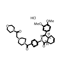 COc1ccc(C2=NN(c3ccc(C(=O)N4CCN(CC(=O)N5CCOCC5)CC4)cc3)C(=O)[C@@H]3CC=CC[C@H]23)cc1OC.Cl